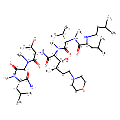 CC(C)CCN[C@@H](CC(C)C)C(=O)N(C)[C@H](C(=O)N(C)[C@H](C(=O)N[C@H](C(=O)N(C)CC(=O)N(C)[C@@H](CC(C)C)C(N)=O)[C@@H](C)O)[C@H](O)[C@H](C)CCN1CCOCC1)C(C)C